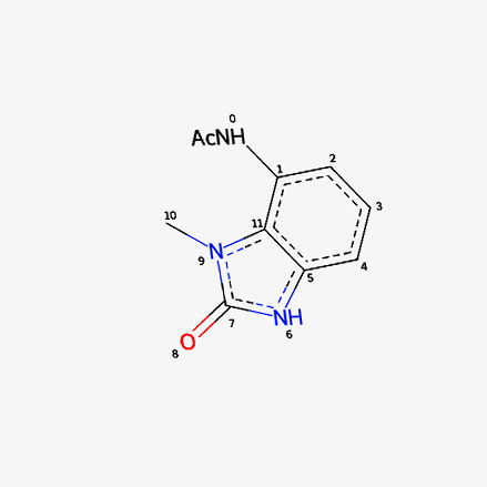 CC(=O)Nc1cccc2[nH]c(=O)n(C)c12